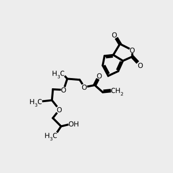 C=CC(=O)OCC(C)OCC(C)OCC(C)O.O=C1OC(=O)c2ccccc21